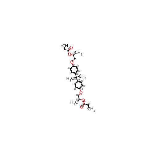 C=CC(=O)OC(C)COc1ccc(C(C)(C)c2ccc(OCC(C)OC(=O)C=C)cc2)cc1